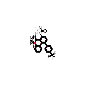 NC(=O)Nc1ccc(-c2ccc(C(F)(F)F)cc2)c(-c2ccccc2CF)c1-c1nnn[nH]1